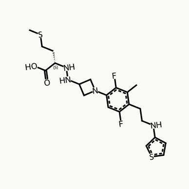 CSCC[C@H](NNC1CN(c2cc(F)c(CCNc3ccsc3)c(C)c2F)C1)C(=O)O